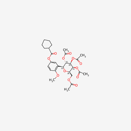 COc1ccc(OC(=O)C2CCCCC2)cc1[C@@H]1O[C@H](COC(C)=O)[C@H](OC(C)=O)[C@H](OC(C)=O)[C@H]1OC(C)=O